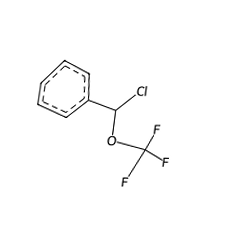 FC(F)(F)OC(Cl)c1ccccc1